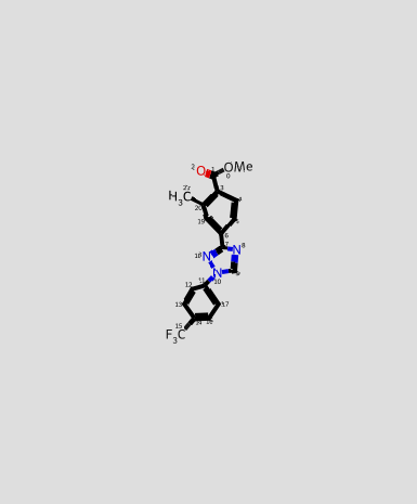 COC(=O)c1ccc(-c2ncn(-c3ccc(C(F)(F)F)cc3)n2)cc1C